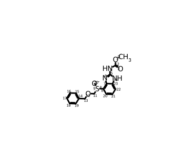 COC(=O)Nc1nc2c([S+]([O-])COCc3ccccc3)cccc2[nH]1